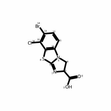 O=C(O)C1CN2C(=N1)Sc1c2ccc(Br)c1Cl